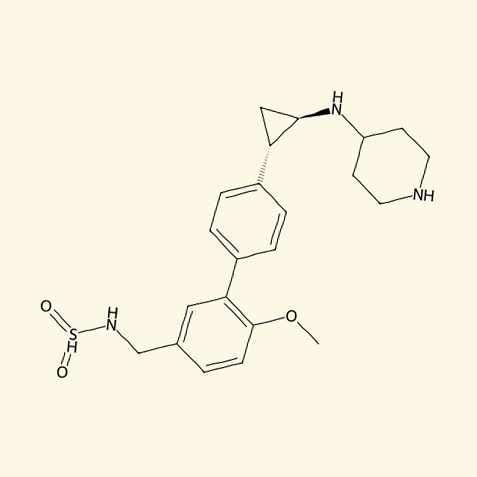 COc1ccc(CN[SH](=O)=O)cc1-c1ccc([C@@H]2C[C@H]2NC2CCNCC2)cc1